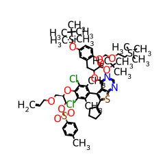 C=CCOC[C@H](COS(=O)(=O)c1ccc(C)cc1)Oc1c(Cl)c(C)c(-c2c(C3=CCCC3)sc3ncnc(OC(Cc4cc(O[Si](C)(C)C(C)(C)C)ccc4OCOCC[Si](C)(C)C)C(=O)OC(C)(C)C)c23)c(C)c1Cl